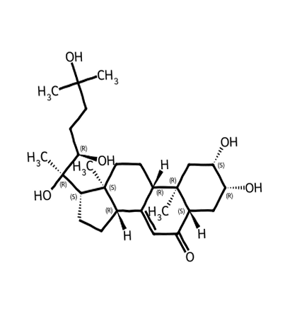 CC(C)(O)CC[C@@H](O)[C@](C)(O)[C@H]1CC[C@H]2C3=CC(=O)[C@H]4C[C@@H](O)[C@@H](O)C[C@]4(C)[C@H]3CC[C@]12C